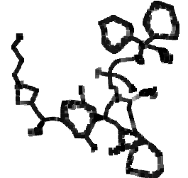 C[C@@H]1Cc2c([nH]c3ccccc23)[C@@H](c2c(F)cc([C@@H](O)C3CN(CCCF)C3)cc2F)N1CC(F)(F)CO[Si](c1ccccc1)(c1ccccc1)C(C)(C)C